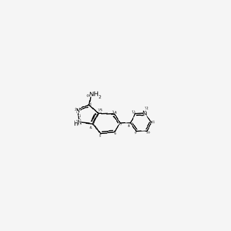 Nc1n[nH]c2ccc(-c3cccnc3)cc12